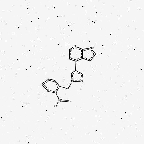 O=[N+]([O-])c1ccccc1Cn1cc(-c2ccnc3[nH]ccc23)cn1